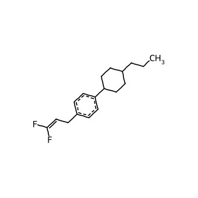 CCCC1CCC(c2ccc(CC=C(F)F)cc2)CC1